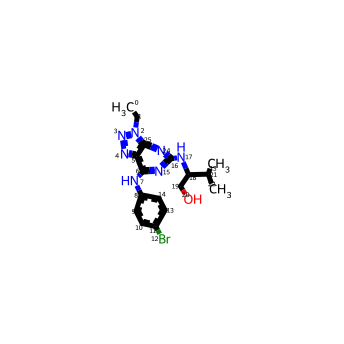 CCn1nnc2c(Nc3ccc(Br)cc3)nc(NC(CO)C(C)C)nc21